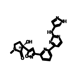 CN1CC[C@@](O)(c2cc(-c3cccc(-c4ccnc(Nc5cn[nH]c5)n4)n3)no2)C1=O